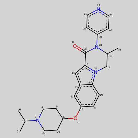 CC(C)N1CCC(Oc2ccc3c(c2)cc2n3CC(C)N(c3ccncc3)C2=O)CC1